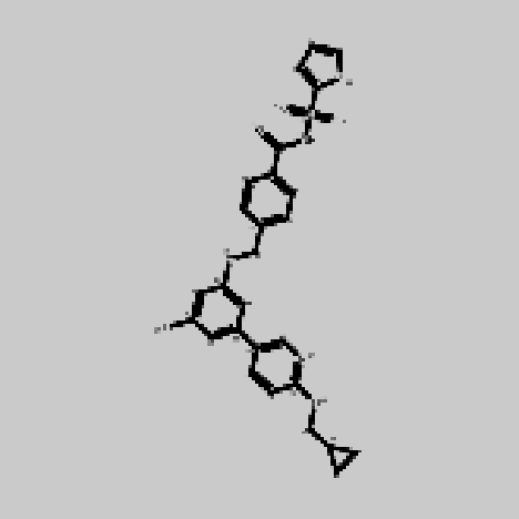 O=C(NS(=O)(=O)c1cccs1)c1ccc(COc2cc(F)cc(-c3ccc(OCC4CC4)nc3)c2)cc1